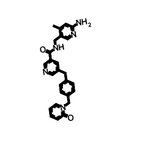 Cc1cc(N)ncc1CNC(=O)c1cncc(Cc2ccc(Cn3ccccc3=O)cc2)c1